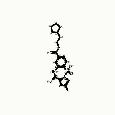 Cc1cc2n(c1)S(=O)(=O)c1ccc(C(=O)NCCC3CCCC3)cc1NC2=O